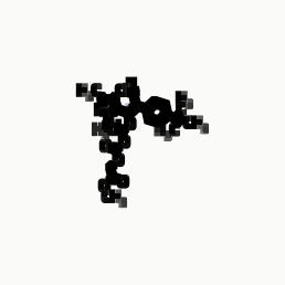 COC(=O)COC(=O)OC(C)O/C(=C(/C#N)c1ccc(C(C)(C)C)cc1)c1c(Cl)c(C)nn1C